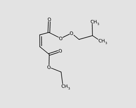 CCOC(=O)/C=C\C(=O)OOCC(C)C